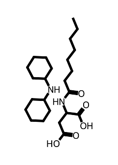 C1CCC(NC2CCCCC2)CC1.CCCCCCCC(=O)NC(CC(=O)O)C(=O)O